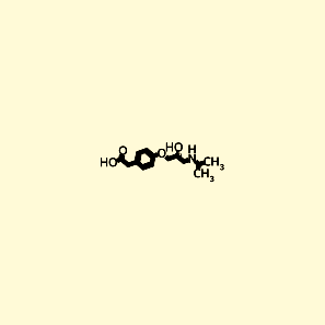 CC(C)NC[C@H](O)COc1ccc(CC(=O)O)cc1